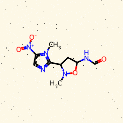 CN1OC(NC=O)CC1c1ncc([N+](=O)[O-])n1C